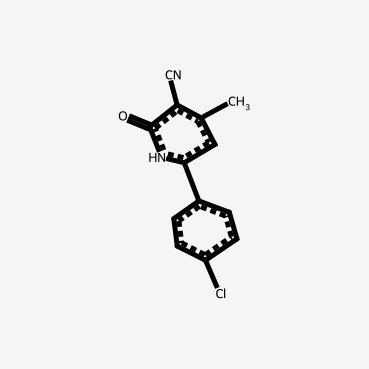 Cc1cc(-c2ccc(Cl)cc2)[nH]c(=O)c1C#N